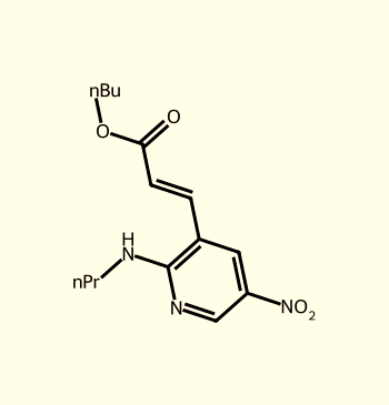 CCCCOC(=O)/C=C/c1cc([N+](=O)[O-])cnc1NCCC